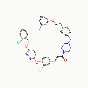 Cc1cccc(OCCc2ccc(CN3CCN(C(=O)C=Cc4ccc(Oc5ccc(OCc6ccccc6Cl)cn5)c(Cl)c4)CC3)cc2)c1